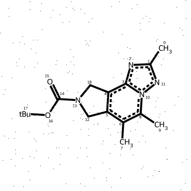 Cc1nc2c3c(c(C)c(C)n2n1)CN(C(=O)OC(C)(C)C)C3